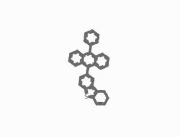 C1=Cc2sc3ccc(-c4c5ccccc5c(-c5ccccc5)c5ccccc45)cc3c2CC1